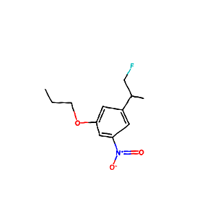 CCCOc1cc([C](C)CF)cc([N+](=O)[O-])c1